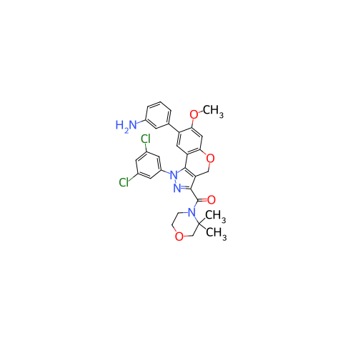 COc1cc2c(cc1-c1cccc(N)c1)-c1c(c(C(=O)N3CCOCC3(C)C)nn1-c1cc(Cl)cc(Cl)c1)CO2